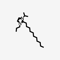 CCCCCCCCCCCc1n(C(C)C)cc[n+]1CCC